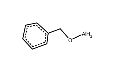 [AlH2][O]Cc1ccccc1